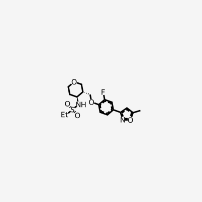 CCS(=O)(=O)N[C@H]1CCOC[C@@H]1COc1ccc(-c2cc(C)on2)cc1F